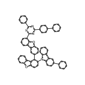 c1ccc(-c2ccc(-c3nc(-c4ccccc4)nc(-c4cccc5c4oc4ccc(-c6c(-n7c8ccccc8c8cc(-c9ccccc9)ccc87)ccc7oc8ccccc8c67)cc45)n3)cc2)cc1